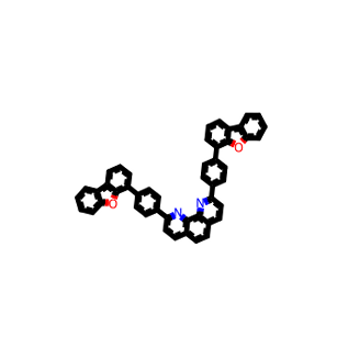 c1ccc2c(c1)oc1c(-c3ccc(-c4ccc5ccc6ccc(-c7ccc(-c8cccc9c8oc8ccccc89)cc7)nc6c5n4)cc3)cccc12